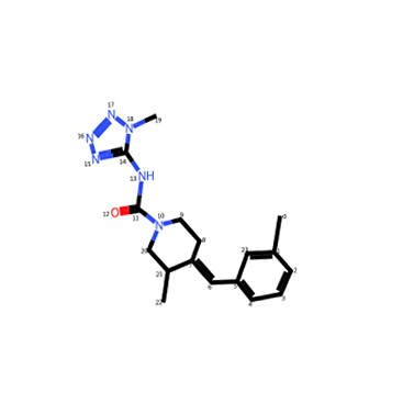 Cc1cccc(C=C2CCN(C(=O)Nc3nnnn3C)CC2C)c1